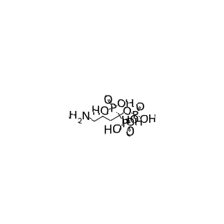 NCCCC(OP(=O)(O)O)(P(=O)(O)O)P(=O)(O)O